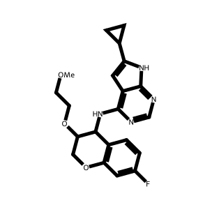 COCCOC1COc2cc(F)ccc2C1Nc1ncnc2[nH]c(C3CC3)cc12